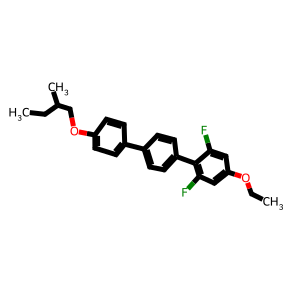 CCOc1cc(F)c(-c2ccc(-c3ccc(OCC(C)CC)cc3)cc2)c(F)c1